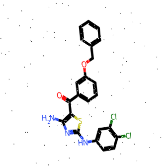 Nc1nc(Nc2ccc(Cl)c(Cl)c2)sc1C(=O)c1cccc(OCc2ccccc2)c1